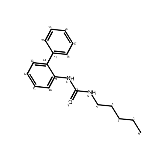 CCCCCNC(=O)Nc1ccccc1-c1ccccc1